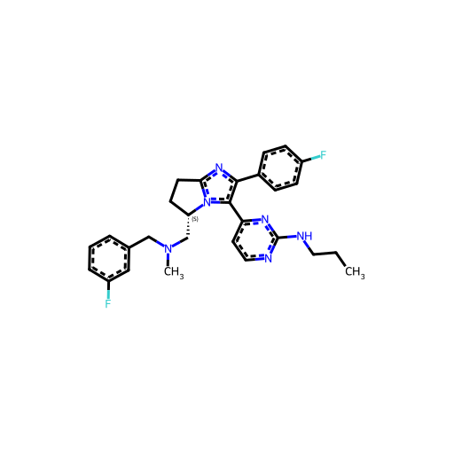 CCCNc1nccc(-c2c(-c3ccc(F)cc3)nc3n2[C@H](CN(C)Cc2cccc(F)c2)CC3)n1